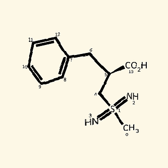 CS(=N)(=N)C[C@@H](Cc1ccccc1)C(=O)O